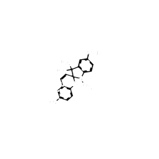 CN1c2ccc(C(=O)O)cc2C(C)(C)C12C=Cc1cc([N+](=O)[O-])ccc1O2